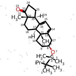 CC(C)C(C)(C)[Si](C)(C)O[C@H]1CC[C@@]2(C)C(=CC=C3[C@@H]2CC[C@]2(C)C(=O)CC[C@@H]32)C1